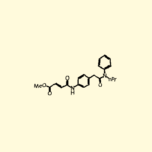 CCCN(C(=O)Cc1ccc(NC(=O)/C=C/C(=O)OC)cc1)c1ccccc1